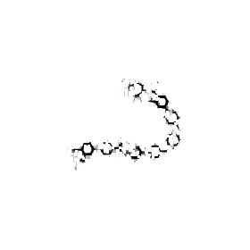 N#Cc1ccc(N2CCC(C(=O)Nc3ccc(N4CCC(CN5CCN(CC6CCN(c7ccc8c(c7)CN(C7CCC(=O)NC7=O)C8=O)CC6)CC5)CC4)cn3)CC2)cc1C(F)(F)F